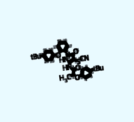 CC(Oc1ccc(C(C)(C)C)cc1)C(=O)Nc1[nH]n(-c2ccccc2Oc2ccc(C(C)(C)C)cc2)c(=O)c1SC#N